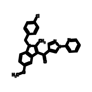 COc1ccc2c(c1)c(C(=O)c1cnn(-c3ccccn3)c1)c(C)n2Cc1ccc(Cl)cc1